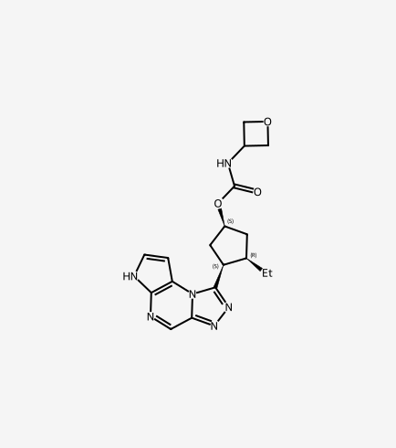 CC[C@@H]1C[C@H](OC(=O)NC2COC2)C[C@@H]1c1nnc2cnc3[nH]ccc3n12